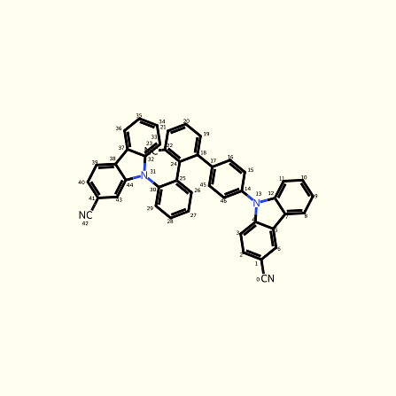 N#Cc1ccc2c(c1)c1ccccc1n2-c1ccc(-c2cccc(C#N)c2-c2ccccc2-n2c3ccccc3c3ccc(C#N)cc32)cc1